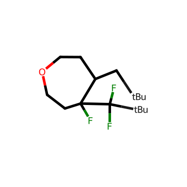 CC(C)(C)CC1CCOCCC1(F)C(F)(F)C(C)(C)C